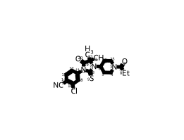 CCC(=O)N1CCC(N2C(=S)N(c3ccc(C#N)c(Cl)c3)C(=O)C2(C)C)CC1